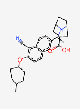 CC1CCC(Oc2ccc3cc(C(C)N4C5CCC4CC(C(=O)O)C5)ccc3c2C#N)CC1